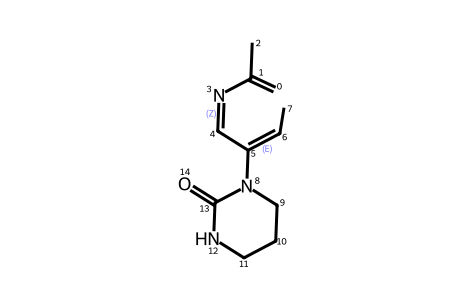 C=C(C)/N=C\C(=C/C)N1CCCNC1=O